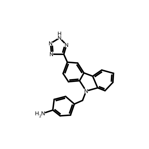 Nc1ccc(Cn2c3ccccc3c3cc(-c4nn[nH]n4)ccc32)cc1